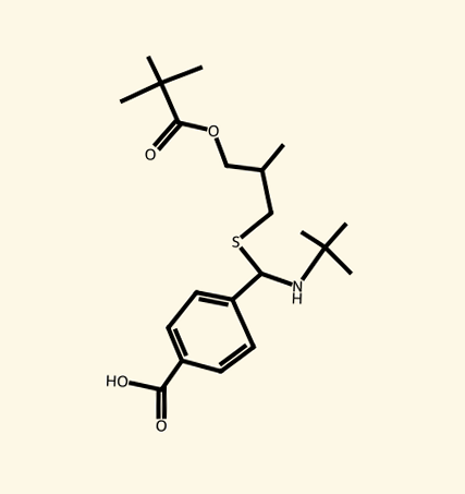 CC(COC(=O)C(C)(C)C)CSC(NC(C)(C)C)c1ccc(C(=O)O)cc1